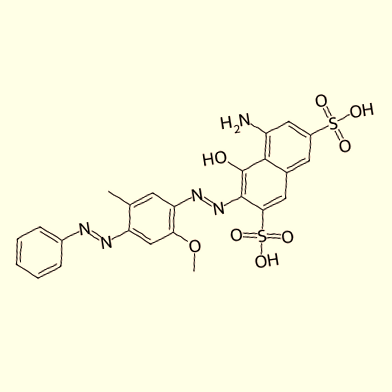 COc1cc(N=Nc2ccccc2)c(C)cc1N=Nc1c(S(=O)(=O)O)cc2cc(S(=O)(=O)O)cc(N)c2c1O